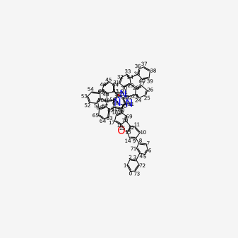 c1ccc(-c2cccc(-c3ccc4c(c3)oc3ccc(-c5nc(-c6ccccc6-c6ccccc6-c6ccccc6)nc(-c6ccccc6C6(c7ccccc7)c7ccccc7-c7ccccc76)n5)cc34)c2)cc1